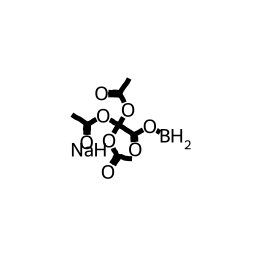 BOC(=O)C(OC(C)=O)(OC(C)=O)OC(C)=O.[NaH]